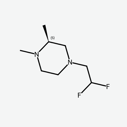 C[C@H]1CN(CC(F)F)CCN1C